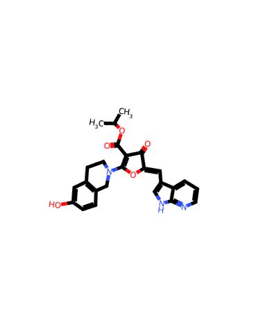 CC(C)OC(=O)C1=C(N2CCc3cc(O)ccc3C2)O/C(=C\c2c[nH]c3ncccc23)C1=O